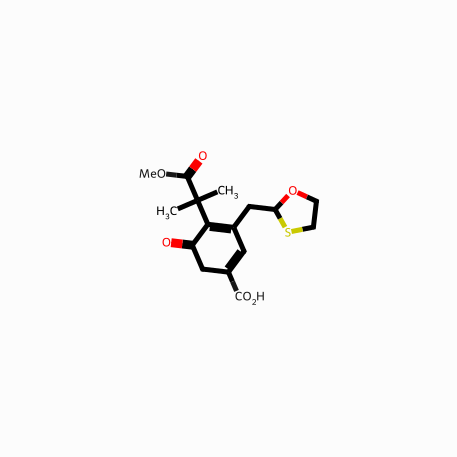 COC(=O)C(C)(C)C1=C(CC2OCCS2)C=C(C(=O)O)CC1=O